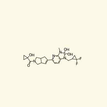 CN1c2nc(C3=CC4CN(C(=O)C5(O)CC5)CC4C3)ccc2N(CC2CC2(F)F)S1(O)O